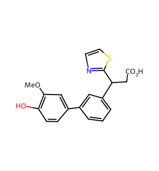 COc1cc(-c2cccc(C(CC(=O)O)c3nccs3)c2)ccc1O